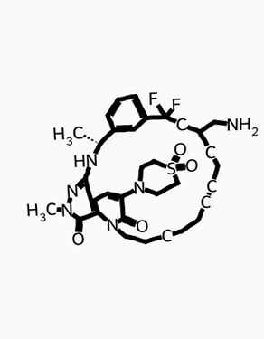 C[C@H]1Nc2nn(C)c(=O)c3c2cc(N2CCS(=O)(=O)CC2)c(=O)n3CCCCCCCCCC(CN)CC(F)(F)c2cccc1c2